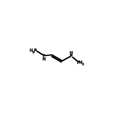 PP/C=C/PP